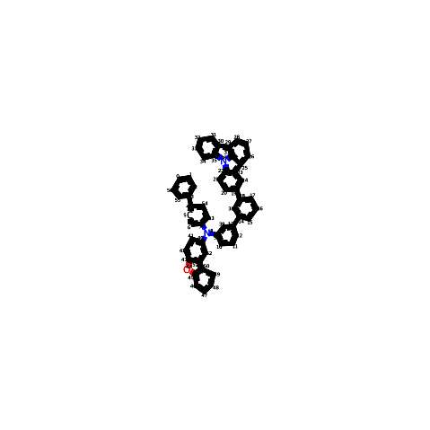 c1ccc(-c2ccc(N(c3cccc(-c4cccc(-c5ccc6c(c5)c5cccc7c8ccccc8n6c75)c4)c3)c3ccc4oc5ccccc5c4c3)cc2)cc1